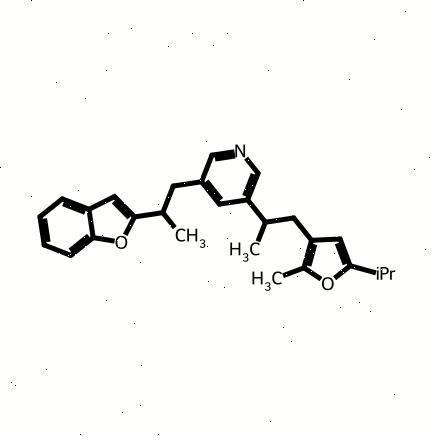 Cc1oc(C(C)C)cc1CC(C)c1cncc(CC(C)c2cc3ccccc3o2)c1